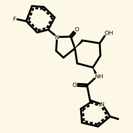 Cc1cccc(C(=O)N[C@@H]2CC(O)C[C@]3(CCN(c4cccc(F)c4)C3=O)C2)n1